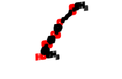 C=CC(=O)OCCCCCCOc1ccc(C(=O)Oc2ccc(OC(=O)c3ccc(O)c(C)c3)cc2)cc1